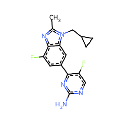 Cc1nc2c(F)cc(-c3nc(N)ncc3F)cc2n1CC1CC1